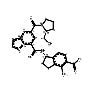 Cc1c(C(=O)O)ccc2c1CC[C@@H]2NC(=O)c1cc(C(=O)N2CCC[C@H]2CO)nc2ccnn12